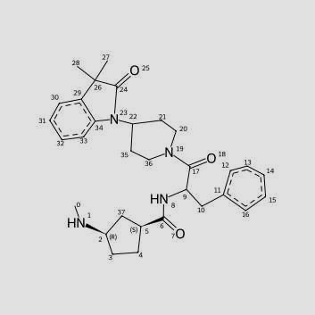 CN[C@@H]1CC[C@H](C(=O)NC(Cc2ccccc2)C(=O)N2CCC(N3C(=O)C(C)(C)c4ccccc43)CC2)C1